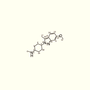 CNC1CCC(n2nc3cc(OC)ccc3c2C)CC1